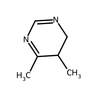 CC1=NC=NCC1C